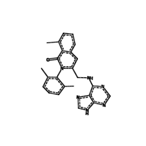 Cc1cccc(C)c1-n1c(CNc2ncnc3[nH]cnc23)cc2cccc(C)c2c1=O